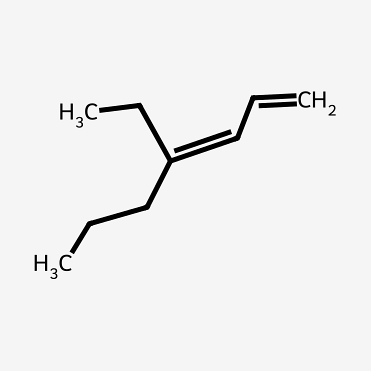 C=C/C=C(\CC)CCC